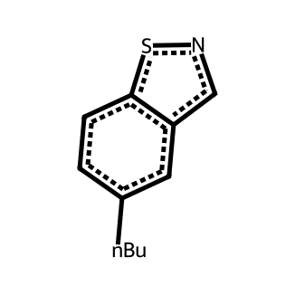 CCCCc1ccc2sncc2c1